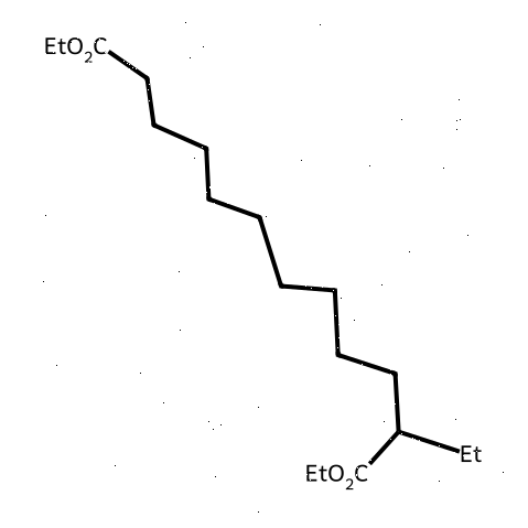 CCOC(=O)CCCCCCCCCC(CC)C(=O)OCC